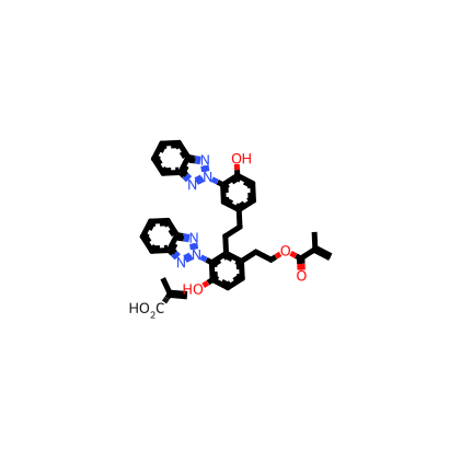 C=C(C)C(=O)O.C=C(C)C(=O)OCCc1ccc(O)c(-n2nc3ccccc3n2)c1CCc1ccc(O)c(-n2nc3ccccc3n2)c1